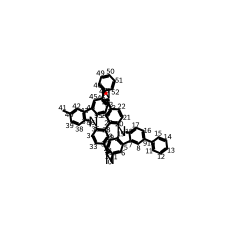 Cc1ccc2c(c1)c1cc(-c3ccccc3)ccc1n2-c1ccc(C#N)cc1-c1cc(C#N)ccc1-n1c2ccc(C)cc2c2cc(-c3ccccc3)ccc21